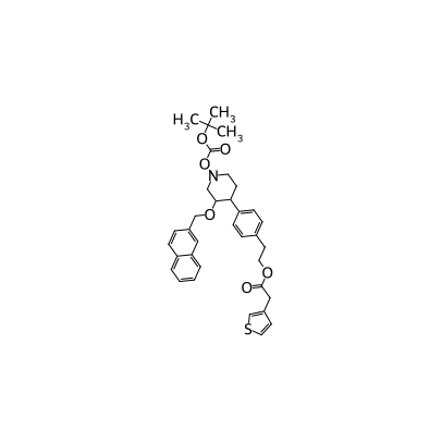 CC(C)(C)OC(=O)ON1CCC(c2ccc(CCOC(=O)Cc3ccsc3)cc2)C(OCc2ccc3ccccc3c2)C1